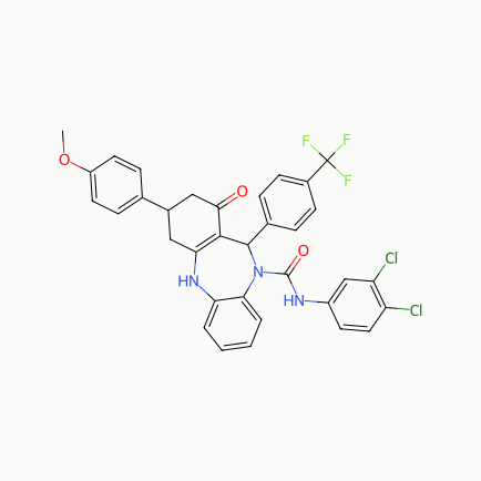 COc1ccc(C2CC(=O)C3=C(C2)Nc2ccccc2N(C(=O)Nc2ccc(Cl)c(Cl)c2)C3c2ccc(C(F)(F)F)cc2)cc1